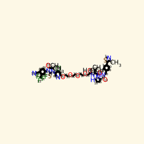 Cc1ncsc1-c1ccc(CNC(=O)[C@@H]2CCCN2C(=O)[C@@H](NC(=O)COCCOCCOCCOc2cc(Cl)c(N3C(=S)N(c4ccc(C#N)c(C(F)(F)F)c4F)C(=O)C3(C)C)cn2)C(C)(C)C)cc1